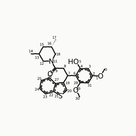 COc1cc(O)c(C(CC(=O)N2CC(C)C[C@H](C)C2)c2csc3ccccc23)c(OC)c1